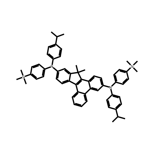 CC(C)c1ccc(N(c2ccc([Si](C)(C)C)cc2)c2ccc3c(c2)C(C)(C)c2c-3c3ccccc3c3cc(N(c4ccc(C(C)C)cc4)c4ccc([Si](C)(C)C)cc4)ccc23)cc1